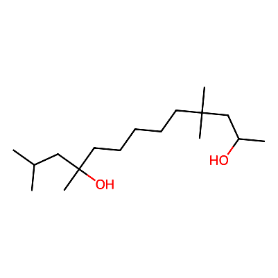 CC(C)CC(C)(O)CCCCCC(C)(C)CC(C)O